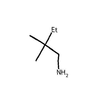 CCC(C)(C)CN